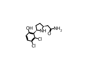 NC(=O)C[C@@H]1CC[C@H](c2c(O)ccc(Cl)c2Cl)N1